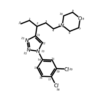 [CH2]CC(CCN1CCOCC1)c1cn(-c2ccc(Cl)c(Cl)c2)nn1